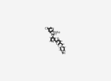 CCN(Sc1cc(Cl)cnc1OC)c1ccnc(-c2ccc(CN3CCN(C(C)C)CC3)cc2F)c1